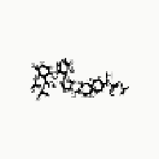 CC(C)OC(=O)NC1CCC2(CC1)CCN(C[C@@H]1CCN(c3ncnnc3Oc3ccc(F)cc3C(=O)N(C(C)C)C(C)C)C1)CC2